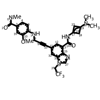 CNC(=O)c1ccc(NCC#Cc2cc(C(=O)NC34CC(N(C)C)(C3)C4)c3ncn(CC(F)(F)F)c3c2)c(OC)c1